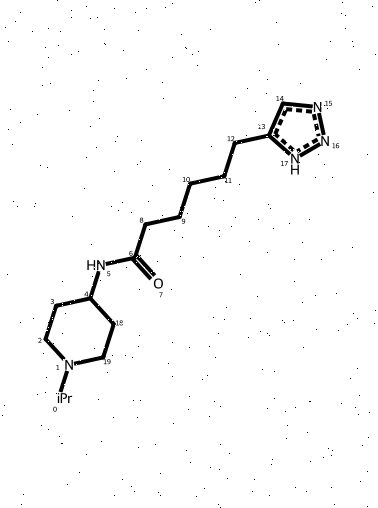 CC(C)N1CCC(NC(=O)CCCCCc2cnn[nH]2)CC1